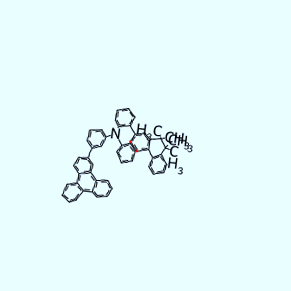 CC1(C)c2ccccc2-c2ccc(-c3ccccc3N(c3ccccc3)c3cccc(-c4ccc5c6ccccc6c6ccccc6c5c4)c3)cc2C1(C)C